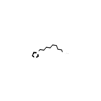 CC[C@@H](CCCCCn1ccnc1)CCOC